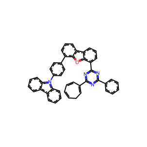 C1=CCC=C(c2nc(-c3ccccc3)nc(-c3cccc4c3oc3c(-c5ccc(-n6c7ccccc7c7ccccc76)cc5)cccc34)n2)C=C1